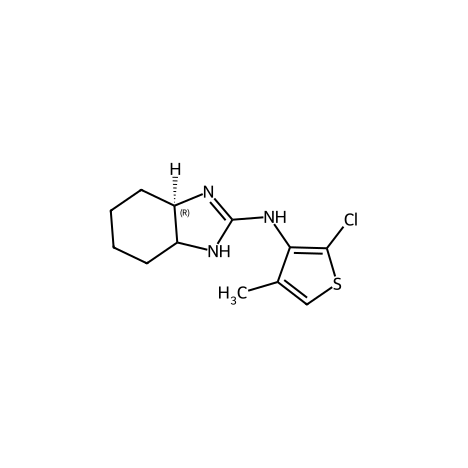 Cc1csc(Cl)c1NC1=N[C@@H]2CCCCC2N1